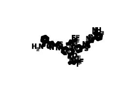 Cc1cc(C(F)(F)F)nn1CC(C(=O)C(Cn1nc(C(F)(F)F)cc1C)N1CCC(c2nc(C3=NOC(c4ccccc4CN)C3)cs2)CC1)N1CCC(c2nc(C3=NOC(c4ccccc4CN)C3)cs2)CC1